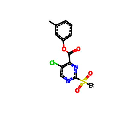 CCS(=O)(=O)c1ncc(Cl)c(C(=O)Oc2cccc(C)c2)n1